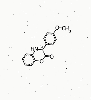 COc1ccc([C@@H]2Nc3ccccc3OC2=O)cc1